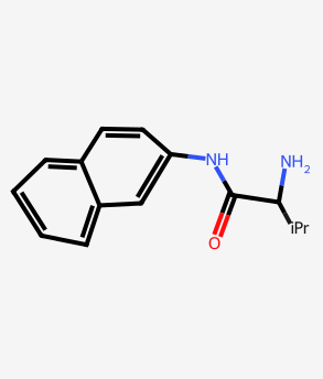 CC(C)C(N)C(=O)Nc1ccc2ccccc2c1